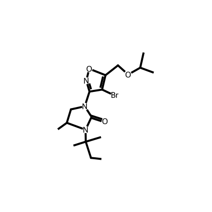 CCC(C)(C)N1C(=O)N(c2noc(COC(C)C)c2Br)CC1C